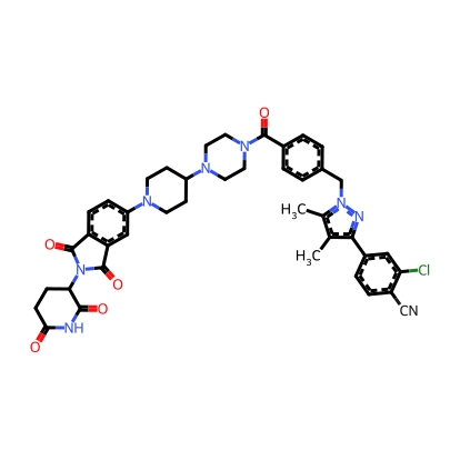 Cc1c(-c2ccc(C#N)c(Cl)c2)nn(Cc2ccc(C(=O)N3CCN(C4CCN(c5ccc6c(c5)C(=O)N(C5CCC(=O)NC5=O)C6=O)CC4)CC3)cc2)c1C